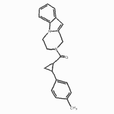 Cc1ccc(C2CC2C(=O)N2CCn3c(cc4ccccc43)C2)cc1